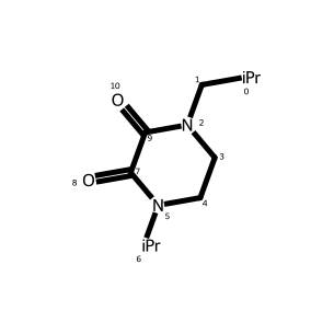 CC(C)CN1CCN(C(C)C)C(=O)C1=O